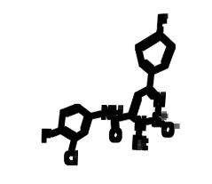 CCN1C(C(=O)Nc2ccc(F)c(Cl)c2)=CC(c2ccc(F)cc2)=N[S+]1[O-]